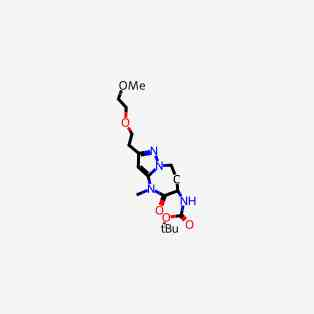 COCCOCCc1cc2n(n1)CCC(NC(=O)OC(C)(C)C)C(=O)N2C